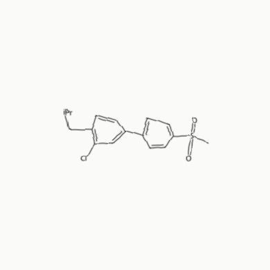 CC(C)Cc1ccc(-c2ccc(S(C)(=O)=O)cc2)cc1Cl